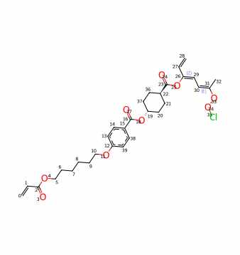 C=CC(=O)OCCCCCCOc1ccc(C(=O)O[C@H]2CC[C@H](C(=O)O/C(C=C)=C\C=C(/C)OOCl)CC2)cc1